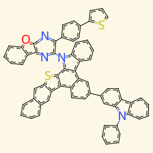 c1ccc(-n2c3ccccc3c3ccc(-c4ccc5c(c4)c4c6ccccc6n(-c6nc7c(nc6-c6ccc(-c8cccs8)cc6)oc6ccccc67)c4c4sc6cc7ccccc7cc6c54)cc32)cc1